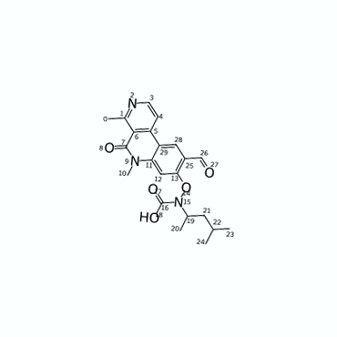 Cc1nccc2c1c(=O)n(C)c1cc(ON(C(=O)O)C(C)CC(C)C)c(C=O)cc21